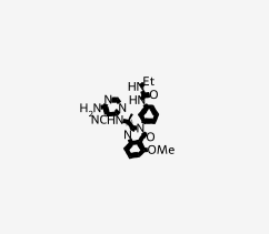 CCNC(=O)Nc1cccc(-n2c([C@H](C)Nc3ncnc(N)c3C#N)nc3cccc(OC)c3c2=O)c1